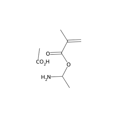 C=C(C)C(=O)OC(C)N.CC(=O)O